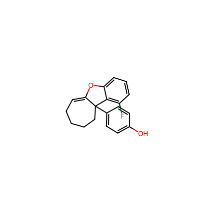 Oc1ccc(C23CCCCC=C2Oc2cccc(F)c23)cc1